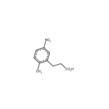 Cc1ccc([N+](=O)[O-])cc1CCC(=O)O